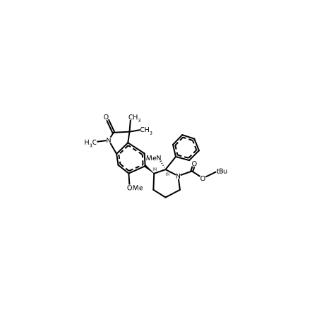 CN[C@@]1(c2ccccc2)[C@H](c2cc3c(cc2OC)N(C)C(=O)C3(C)C)CCCN1C(=O)OC(C)(C)C